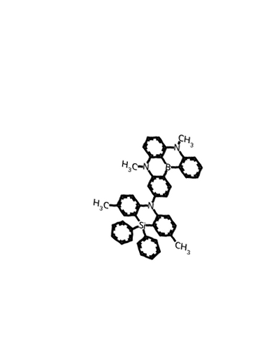 Cc1ccc2c(c1)[Si](c1ccccc1)(c1ccccc1)c1cc(C)ccc1N2c1ccc2c(c1)N(C)c1cccc3c1B2c1ccccc1N3C